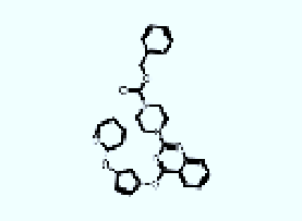 O=C(OCc1ccccc1)N1CCN(c2nc(O[C@H]3C=C[C@@H](O[C@H]4CCCCO4)C3)c3ccccc3n2)CC1